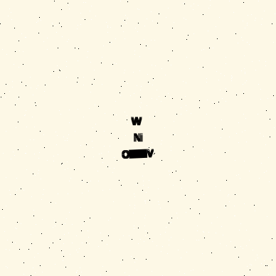 [Ni].[O]=[V].[W]